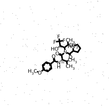 COc1ccc(C(=O)N[C@H](C(=O)N(C(=O)C2CCCN2)C(C(C)C)[C@H](O)C(F)(F)F)C(C)C)cc1